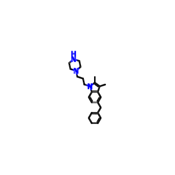 Cc1c(C)n(CCCN2CCNCC2)c2ccc(CC3=CCCC=C3)cc12